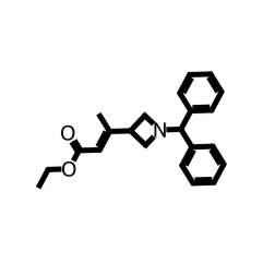 CCOC(=O)C=C(C)C1CN(C(c2ccccc2)c2ccccc2)C1